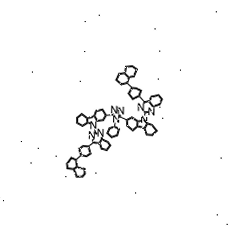 c1ccc(-n2c(-c3ccc4c5ccccc5n(-c5nc(-c6ccc(-c7cccc8ccccc78)cc6)c6ccccc6n5)c4c3)nnc2-c2ccc3c4ccccc4n(-c4nc(-c5ccc(-c6cccc7ccccc67)cc5)c5ccccc5n4)c3c2)cc1